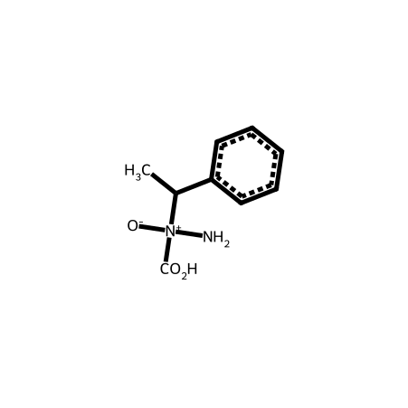 CC(c1ccccc1)[N+](N)([O-])C(=O)O